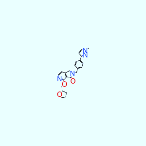 Cn1ccc(-c2ccc(CN3Cc4ccnc(OC[C@@H]5CCCO5)c4C3=O)cc2)n1